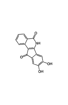 O=C1c2cc(O)c(O)cc2-c2[nH]c(=O)c3ccccc3c21